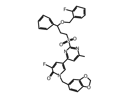 Cc1cc(-c2cc(F)c(=O)n(Cc3ccc4c(c3)OCO4)c2)nc(S(=O)(=O)CCC(OCc2ccccc2F)c2ccccc2)n1